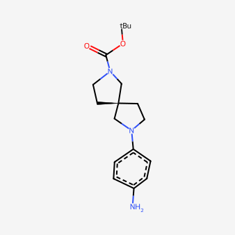 CC(C)(C)OC(=O)N1CC[C@]2(CCN(c3ccc(N)cc3)C2)C1